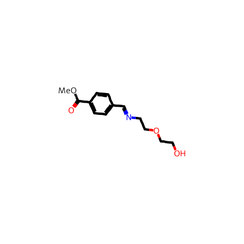 COC(=O)c1ccc(C=NCCOCCO)cc1